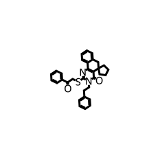 O=C(CSc1nc2c(c(=O)n1CCc1ccccc1)C1(CCCC1)Cc1ccccc1-2)c1ccccc1